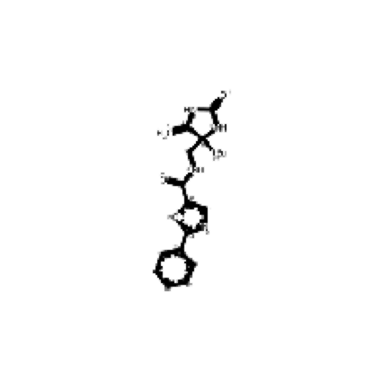 C=C1NC(=O)NC1(CNC(=O)c1cnc(-c2ccccc2)o1)C(C)(C)C